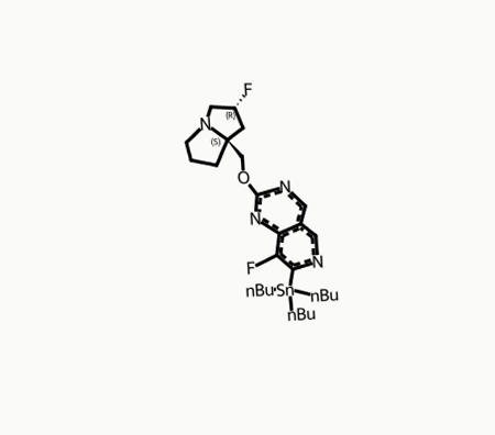 CCC[CH2][Sn]([CH2]CCC)([CH2]CCC)[c]1ncc2cnc(OC[C@@]34CCCN3C[C@H](F)C4)nc2c1F